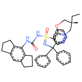 CC[C@@]1(C)COc2c(S(=O)(=NC(c3ccccc3)(c3ccccc3)c3ccccc3)NC(=O)Nc3c4c(cc5c3CCC5)CCC4)cnn2C1